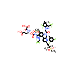 CC(C)(C#Cc1ccc(-c2ccc(Cl)c3c(N(C(=O)OC[C@H](CCC(=O)O)NC(=O)C(=O)O)S(C)(=O)=O)nn(CC(F)(F)F)c23)c([C@H](Cc2cc(F)cc(F)c2)NC(=O)Cn2nc(C(F)(F)F)c3c2C(F)(F)C2C[C@H]32)n1)S(C)(=O)=O